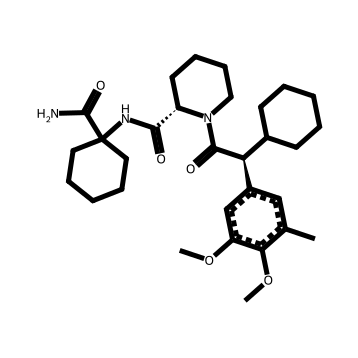 COc1cc([C@@H](C(=O)N2CCCC[C@H]2C(=O)NC2(C(N)=O)CCCCC2)C2CCCCC2)cc(C)c1OC